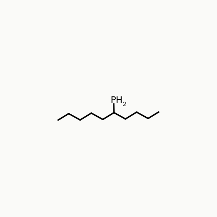 CCCCCC(P)CCCC